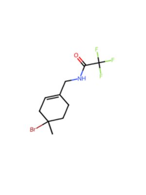 CC1(Br)CC=C(CNC(=O)C(F)(F)F)CC1